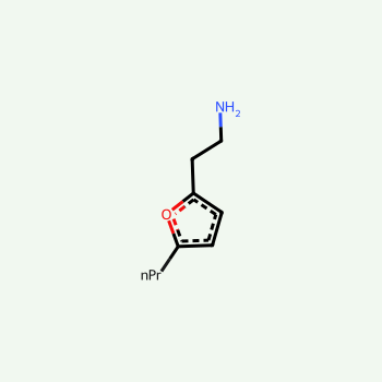 CCCc1ccc(CCN)o1